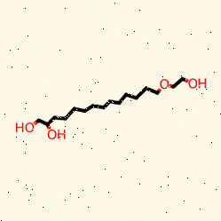 OCCOCCCCCCCCCCCCC(O)CO